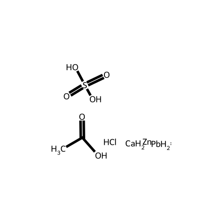 CC(=O)O.Cl.O=S(=O)(O)O.[CaH2].[PbH2].[Zn]